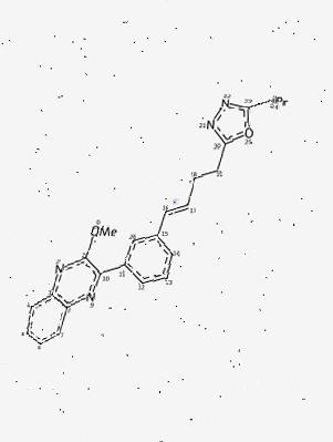 COc1nc2ccccc2nc1-c1cccc(/C=C/CCc2nnc(C(C)C)o2)c1